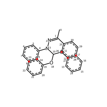 CC(=NN(c1ccccc1)C(Oc1ccccc1)Oc1ccccc1)c1ccccc1